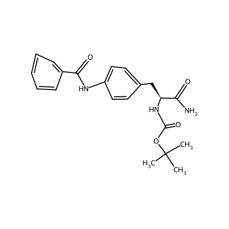 CC(C)(C)OC(=O)N[C@@H](Cc1ccc(NC(=O)c2ccccc2)cc1)C(N)=O